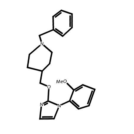 COc1ccccc1-n1ccnc1OCC1CCN(Cc2ccccc2)CC1